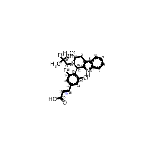 C[C@@H]1Cc2c([nH]c3ccccc23)[C@@H](c2c(F)cc(/C=C/C(=O)O)cc2Cl)N1CC(C)(C)F